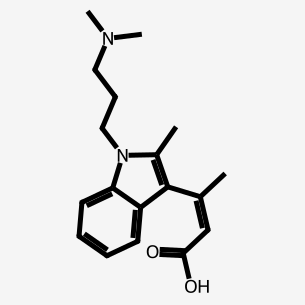 C/C(=C/C(=O)O)c1c(C)n(CCCN(C)C)c2ccccc12